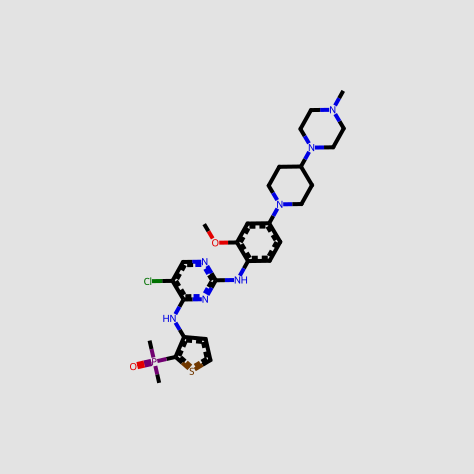 COc1cc(N2CCC(N3CCN(C)CC3)CC2)ccc1Nc1ncc(Cl)c(Nc2ccsc2P(C)(C)=O)n1